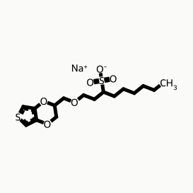 CCCCCCC(CCOCC1COc2cscc2O1)S(=O)(=O)[O-].[Na+]